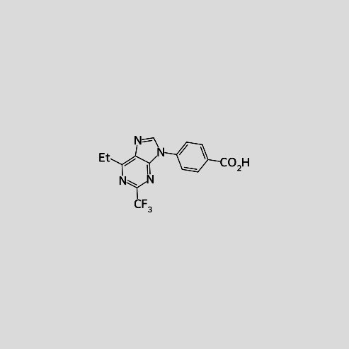 CCc1nc(C(F)(F)F)nc2c1ncn2-c1ccc(C(=O)O)cc1